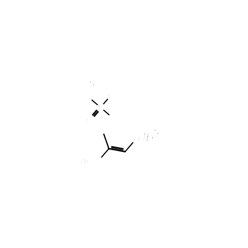 CCCCCC=C(C)C(=O)O.O=P([O-])([O-])[O-].[Na+].[Na+].[Na+]